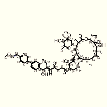 CC[C@H]1OC(=O)[C@H](C)C([C@H]2C[C@@](C)(OC)[C@@H](O)[C@H](C)O2)[C@H](C)[C@@H](O[C@@H]2O[C@H](C)C[C@H](N(C)CCC(=O)N[C@H](CF)[C@H](O)c3ccc(-c4ccc(/C=N/OC)nc4)cc3)[C@H]2O)[C@](C)(O)C[C@@H](C)CN(C)[C@H](C)[C@@H](O)[C@]1(C)O